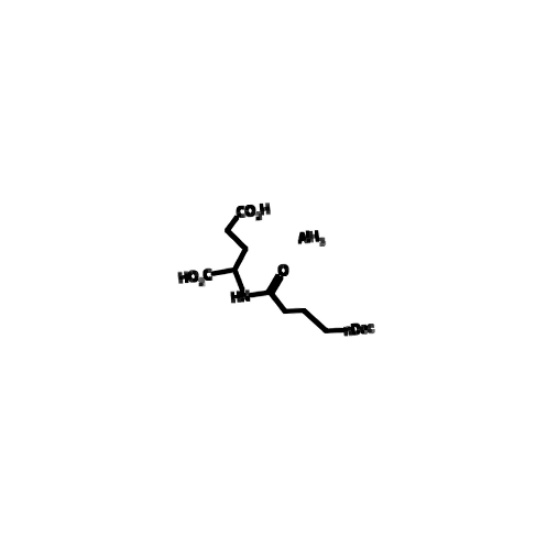 CCCCCCCCCCCCCC(=O)NC(CCC(=O)O)C(=O)O.[AlH3]